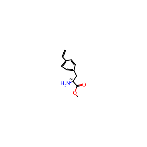 C=Cc1ccc(C[C@H](N)C(=O)OC)cc1